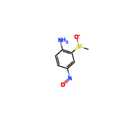 C[S+]([O-])c1cc(N=O)ccc1N